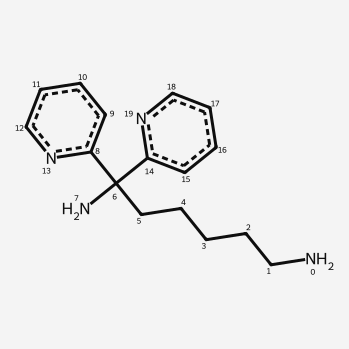 NCCCCCC(N)(c1ccccn1)c1ccccn1